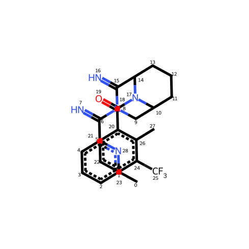 Cc1cccc(C(=N)N2CC3CCCC(C2=N)N3C(=O)c2cccc(C(F)(F)F)c2C)n1